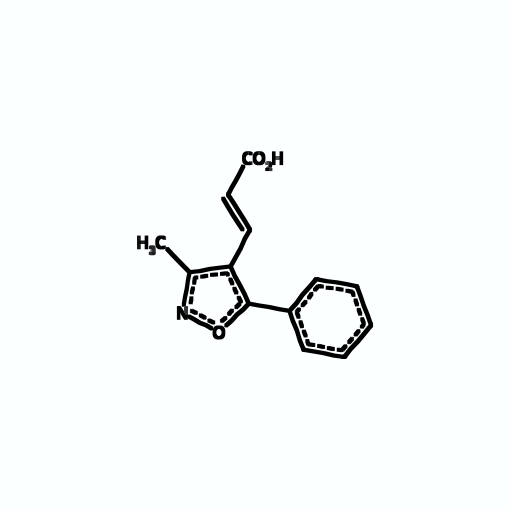 Cc1noc(-c2ccccc2)c1C=CC(=O)O